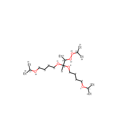 CCC(CC)OCCCCOC(C)(OCCCCOC(CC)CC)C(CC)OOC(CC)CC